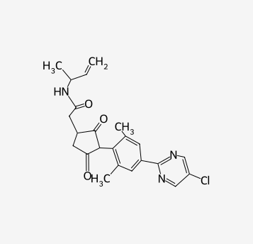 C=CC(C)NC(=O)CC1CC(=O)C(c2c(C)cc(-c3ncc(Cl)cn3)cc2C)C1=O